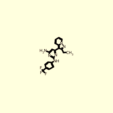 CCc1nn2ccccc2c1-c1cc(N)nc(Nc2ccc(C(F)(F)F)cc2)n1